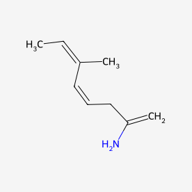 C=C(N)C/C=C\C(C)=C/C